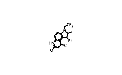 CCC1c2c(ccc3[nH]c(=O)cc(Cl)c23)N(CC(F)(F)F)C1C